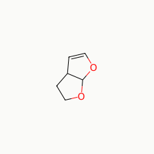 C1=CC2CCOC2O1